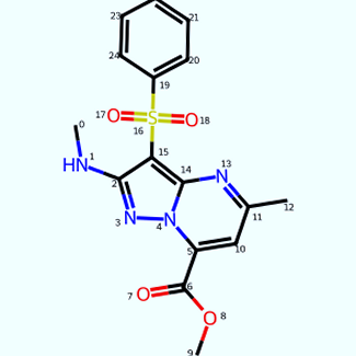 CNc1nn2c(C(=O)OC)cc(C)nc2c1S(=O)(=O)c1ccccc1